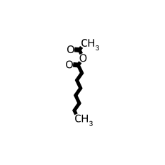 CCCCCCCC(=O)OC(C)=O